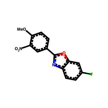 COc1ccc(-c2nc3ccc(F)cc3o2)cc1[N+](=O)[O-]